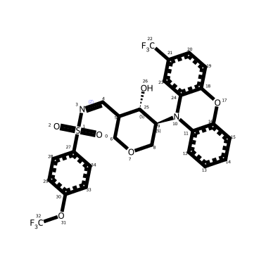 O=S(=O)(/N=C\C1COC[C@H](N2c3ccccc3Oc3ccc(C(F)(F)F)cc32)[C@H]1O)c1ccc(OC(F)(F)F)cc1